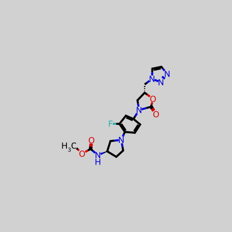 COC(=O)N[C@@H]1CCN(c2ccc(N3C[C@H](Cn4ccnn4)OC3=O)cc2F)C1